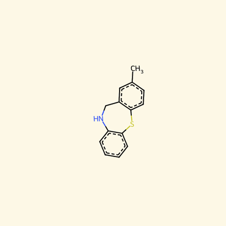 Cc1ccc2c(c1)CNc1ccccc1S2